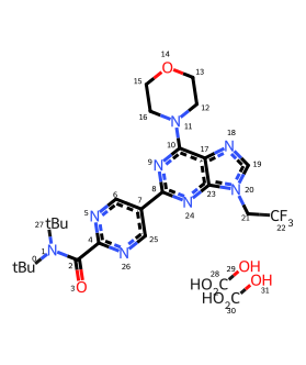 CC(C)(C)N(C(=O)c1ncc(-c2nc(N3CCOCC3)c3ncn(CC(F)(F)F)c3n2)cn1)C(C)(C)C.O=C(O)O.O=C(O)O